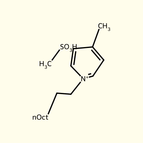 CCCCCCCCCC[n+]1ccc(C)cc1.CS(=O)(=O)O